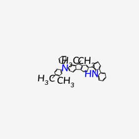 Cc1ccc(N(c2ccccc2)c2ccc3c(c2)C(C)(C)c2cc(-c4cccc5c4[nH]c4ccccc45)ccc2-3)cc1C